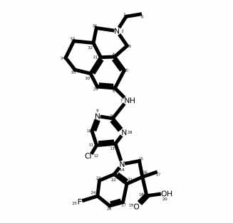 CCN1Cc2cc(Nc3ncc(Cl)c(N4CC(C)(C(=O)O)C5=C4CC(F)C=C5)n3)cc3c2C(CCC3)C1